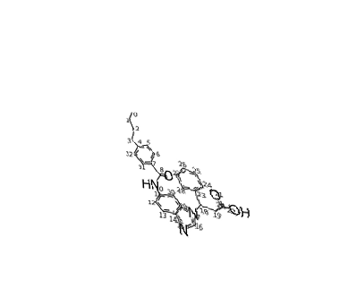 CCCCc1ccc(C(=O)Nc2ccc3ncn(C(CC(=O)O)c4ccccc4)c3c2)cc1